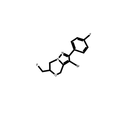 FCC1Cn2nc(-c3ccc(F)cc3)c(Br)c2CO1